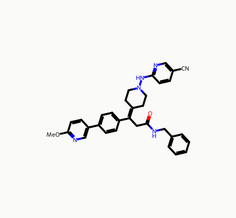 COc1ccc(-c2ccc(C(CC(=O)NCc3ccccc3)=C3CCN(Nc4ccc(C#N)cn4)CC3)cc2)cn1